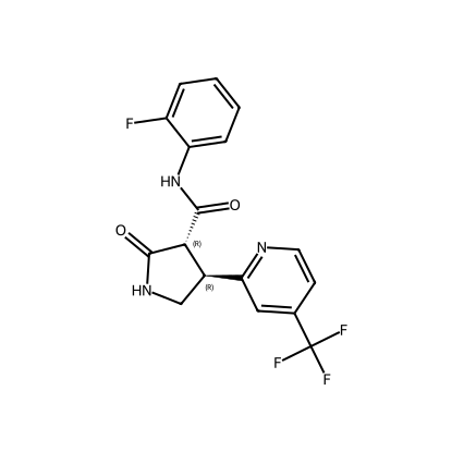 O=C1NC[C@H](c2cc(C(F)(F)F)ccn2)[C@H]1C(=O)Nc1ccccc1F